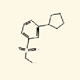 O=S(=O)(CC(F)(F)F)c1cccc(C2CCCC2)c1